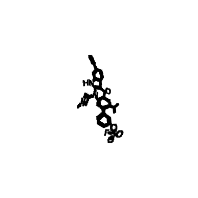 C#Cc1ccc2c(c1)[nH]c1c2c(=O)c2cc(C(C)C)c(-c3cccc(OS(=O)(=O)F)c3)cc2n1C1CN(C)C1